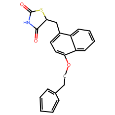 O=C1NC(=O)C(Cc2ccc(OCCc3ccccc3)c3ccccc23)S1